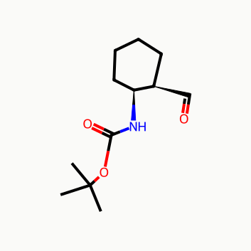 CC(C)(C)OC(=O)N[C@H]1CCCC[C@H]1C=O